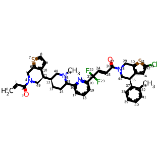 C=CC(=O)N1Cc2sccc2[C@@H]([C@@H]2CCC(c3cccc(C(F)(F)/C=C/C(=O)N4Cc5sc(Cl)cc5[C@@H](c5ccccc5C)C4)n3)N(C)C2)C1